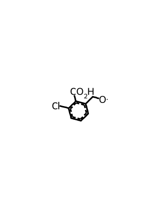 [O]Cc1cccc(Cl)c1C(=O)O